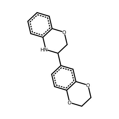 c1ccc2c(c1)NC(c1ccc3c(c1)OCCO3)CO2